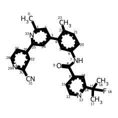 Cc1cc(-c2cc(NC(=O)c3ccnc(C(C)(C)F)c3)ccc2C)cc(-c2ccnc(C#N)c2)n1